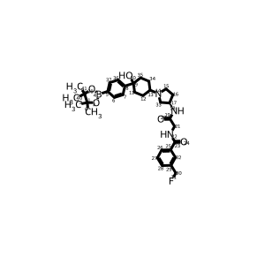 CC1(C)OB(c2ccc(C3(O)CCC(N4CC[C@@H](NC(=O)CNC(=O)c5cccc(CF)c5)C4)CC3)cc2)OC1(C)C